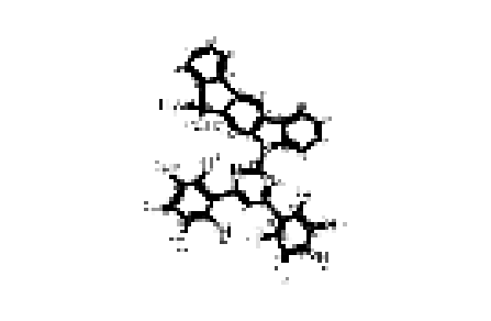 [2H]c1c([2H])c([2H])c(-c2cc(-c3c([2H])c([2H])c([2H])c([2H])c3[2H])nc(-n3c4ccccc4c4cc5c(cc43)C(C)(C)c3ccccc3-5)n2)c([2H])c1[2H]